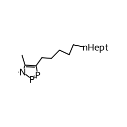 CCCCCCCCCCCCC1=C(C)[N]P=P1